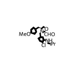 COc1ccc(C[C@H]2COC(C=O)N2Cc2ccc(Cl)c(NCC(C)C)c2)cc1